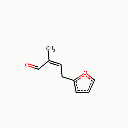 CC(C=O)=CCc1ccco1